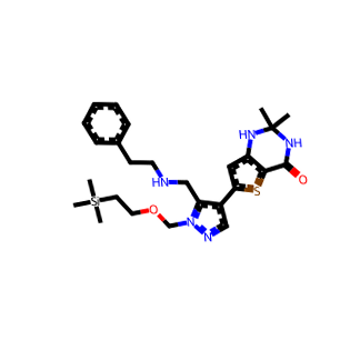 CC1(C)NC(=O)c2sc(-c3cnn(COCC[Si](C)(C)C)c3CNCCc3ccccc3)cc2N1